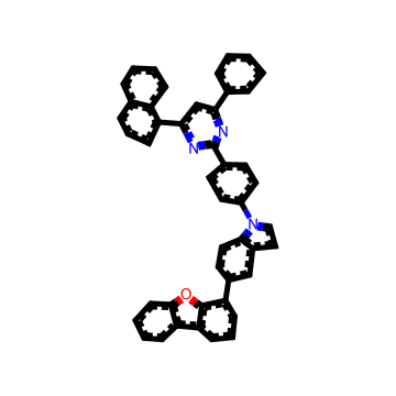 c1ccc(-c2cc(-c3cccc4ccccc34)nc(-c3ccc(-n4ccc5cc(-c6cccc7c6oc6ccccc67)ccc54)cc3)n2)cc1